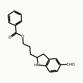 O=Cc1ccc2c(c1)CC(CCCOC(=O)c1ccccc1)N2